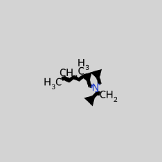 C=C(C1CC1)N(CC1CC1)CC1CC1(C)CCC=C(C)C